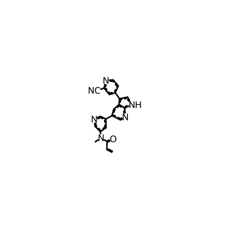 C=CC(=O)N(C)c1cncc(-c2cnc3[nH]cc(-c4ccnc(C#N)c4)c3c2)c1